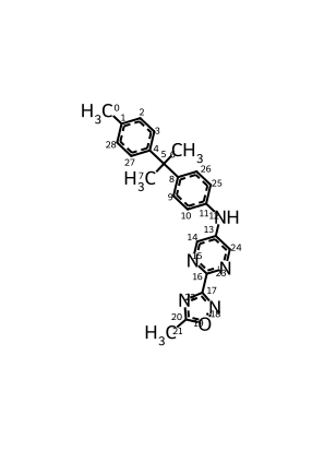 Cc1ccc(C(C)(C)c2ccc(Nc3cnc(-c4noc(C)n4)nc3)cc2)cc1